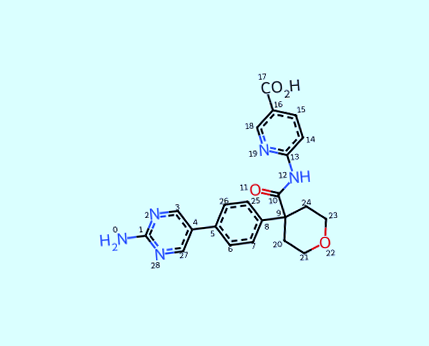 Nc1ncc(-c2ccc(C3(C(=O)Nc4ccc(C(=O)O)cn4)CCOCC3)cc2)cn1